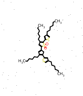 CCCCCCC1=C(c2cc(CCCCCC)cs2)CC(C2=CC(CCCCCC)=C(c3cc(CCCCCC)cs3)S2(=O)=O)=C1